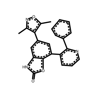 Cc1noc(C)c1-c1cc(-c2cccnc2-c2ccccc2)c2oc(=O)[nH]c2c1